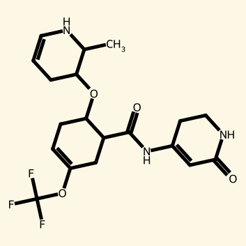 CC1NC=CCC1OC1CC=C(OC(F)(F)F)CC1C(=O)NC1=CC(=O)NCC1